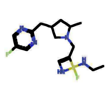 CCNS1(F)NC=C1CN1CC(Cc2ncc(F)cn2)CC1C